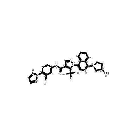 O=C(Nc1cnc(-n2nccn2)c(Cl)c1)c1cnn(-c2cnc(N3CC[C@@H](O)C3)c3ccccc23)c1C(F)(F)F